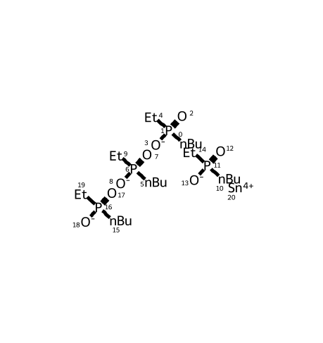 CCCCP(=O)([O-])CC.CCCCP(=O)([O-])CC.CCCCP(=O)([O-])CC.CCCCP(=O)([O-])CC.[Sn+4]